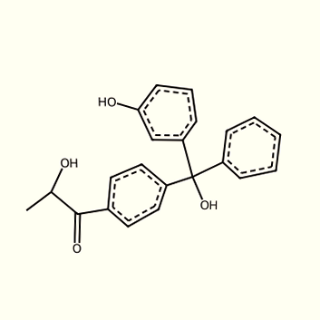 CC(O)C(=O)c1ccc(C(O)(c2ccccc2)c2cccc(O)c2)cc1